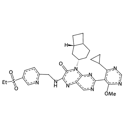 CCS(=O)(=O)c1ccc(CNc2nc3cnc(-c4c(OC)ncnc4C4CC4)nc3n([C@H]3CCC4CC[C@H]4C3)c2=O)nc1